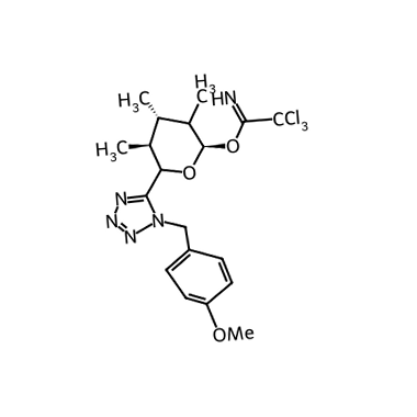 COc1ccc(Cn2nnnc2C2O[C@H](OC(=N)C(Cl)(Cl)Cl)C(C)[C@@H](C)[C@@H]2C)cc1